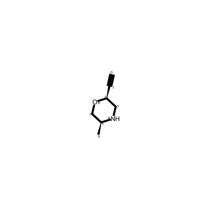 C#C[C@H]1CN[C@@H](C)CO1